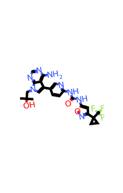 CC(C)(O)Cn1cc(-c2ccc(NC(=O)Nc3cc(C4(C(F)(F)F)CC4)no3)nc2)c2c(N)ncnc21